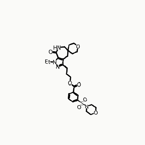 CCn1nc(CCCOC(=O)c2cccc(S(=O)(=O)N3CCOCC3)c2)c2c1C(=O)NCC1(CCOCC1)C2